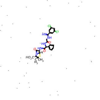 CC1(C)S[C@@H]2C(NC(=O)C(NC(=O)CNC(=N)c3cc(Cl)cc(Cl)c3)c3ccccc3)C(=O)N2[C@H]1C(=O)O